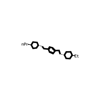 CCC[C@H]1CC[C@H](CCc2ccc(CC[C@H]3CC[C@H](CC)CC3)cc2)CC1